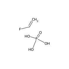 C=CF.O=P(O)(O)O